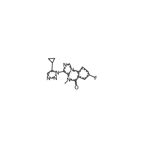 Cn1c(=O)c2cc(F)ccc2n2cnc(-n3nncc3C3CC3)c12